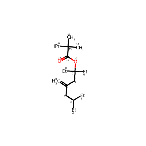 C=C(CC(CC)CC)CC(CC)(CC)OC(=O)C(C)(C)C(C)C